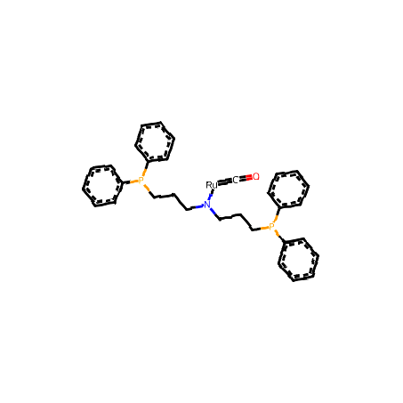 O=[C]=[Ru][N](CCCP(c1ccccc1)c1ccccc1)CCCP(c1ccccc1)c1ccccc1